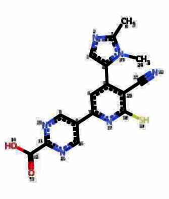 Cc1ncc(-c2cc(-c3cnc(C(=O)O)nc3)nc(S)c2C#N)n1C